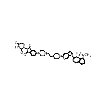 CN(C)c1cccc2cnc(-n3ccc4cc(N5CCC(CCN6CCN(c7ccc8c(c7)C(=O)N(C7CCC(=O)NC7=O)C8=O)CC6)CC5)ncc43)cc12